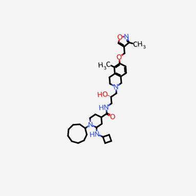 Cc1nocc1COc1ccc2c(c1C)CCN(C[C@@H](O)CNC(=O)C1CCN(C3CCCCCCCC3)C(NC3CCC3)C1)C2